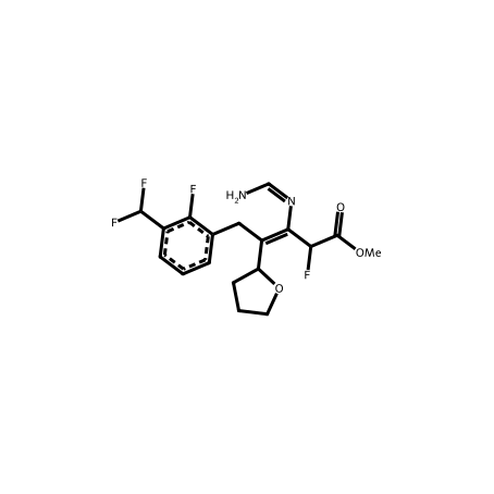 COC(=O)C(F)C(/N=C\N)=C(/Cc1cccc(C(F)F)c1F)C1CCCO1